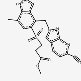 COC(=O)CCS(=O)(=O)c1cc(C)c2[nH]ccc2c1Cn1cc2ccc(C#N)nc2n1